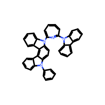 C1=CC=C(n2c3ccccc3c3c4c5ccccc5n(-c5ccccc5)c4ccc32)N=C(n2c3ccccc3c3ccccc32)C=1